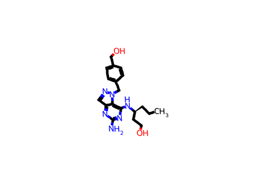 CCC[C@@H](CCO)Nc1nc(N)nc2cnn(Cc3ccc(CO)cc3)c12